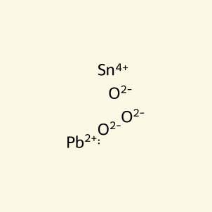 [O-2].[O-2].[O-2].[Pb+2].[Sn+4]